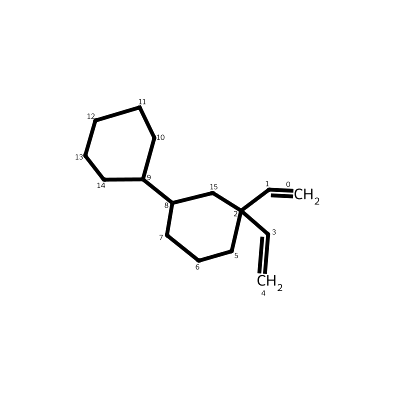 C=CC1(C=C)CCCC(C2CCCCC2)C1